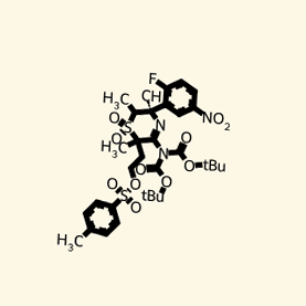 Cc1ccc(S(=O)(=O)OCCC2(C)C(N(C(=O)OC(C)(C)C)C(=O)OC(C)(C)C)=N[C@](C)(c3cc([N+](=O)[O-])ccc3F)C(C)S2(=O)=O)cc1